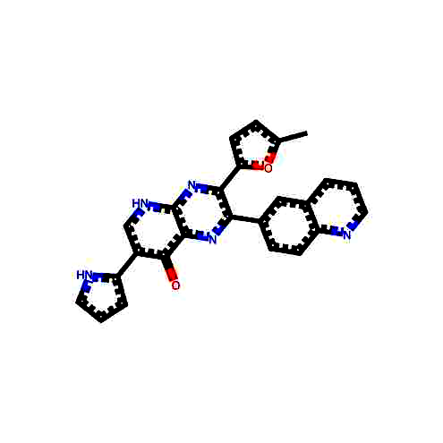 Cc1ccc(-c2nc3[nH]cc(-c4ccc[nH]4)c(=O)c3nc2-c2ccc3ncccc3c2)o1